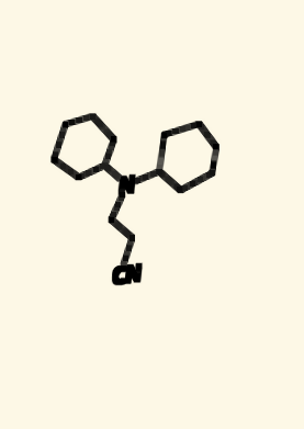 N#CCCN(C1CCCCC1)C1CCCCC1